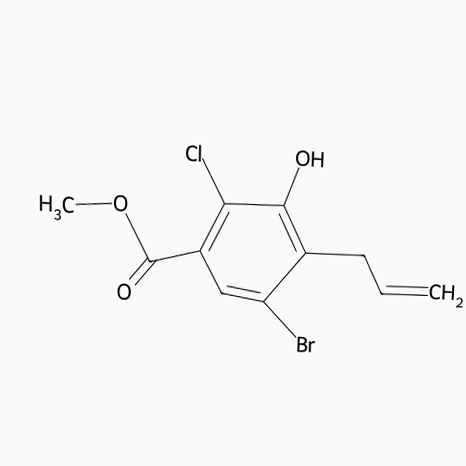 C=CCc1c(Br)cc(C(=O)OC)c(Cl)c1O